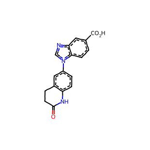 O=C1CCc2cc(-n3cnc4cc(C(=O)O)ccc43)ccc2N1